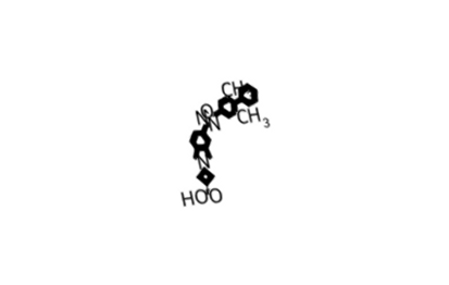 Cc1cc(-c2nc(-c3ccc4c(c3)CN([C@H]3C[C@@H](C(=O)O)C3)C4)no2)cc(C)c1-c1ccccc1